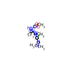 Cc1nc(-c2nc(NC3CCN(S(C)(=O)=O)CC3)ncc2C(F)(F)F)cn1-c1ccc(N2CCC(N(C)C)C2)cc1F